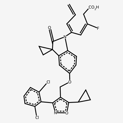 C=C/C=C(\C=C(\F)CC(=O)O)N1C(=O)C2(CC2)c2cc(OCc3c(-c4c(Cl)cccc4Cl)noc3C3CC3)ccc21